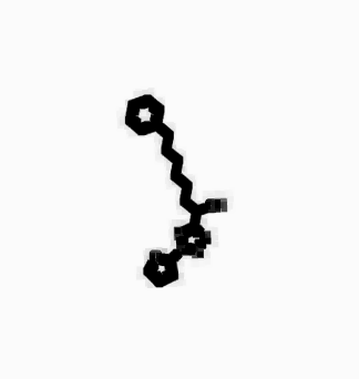 OC(CCCCCCc1ccccc1)c1nnn(-c2ccco2)n1